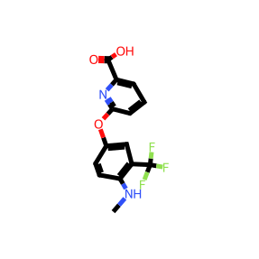 CNc1ccc(Oc2cccc(C(=O)O)n2)cc1C(F)(F)F